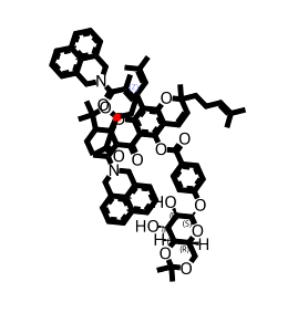 CC(C)=CCCC1(C)C=Cc2c(c(CC=C(C)C)c3c(c2OC(=O)c2ccc(O[C@@H]4O[C@@H]5COC(C)(C)O[C@H]5[C@H](O)[C@H]4O)cc2)C(=O)C2C(N4Cc5cccc6cccc(c56)C4)C4CC5C(C)(C)OC(C/C=C(/C)C(=O)N6Cc7cccc8cccc(c78)C6)(C4=O)C25O3)O1